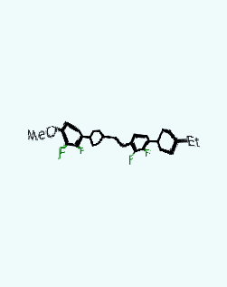 CCC1CCC(c2ccc(CCC3CCC(c4ccc(OC)c(F)c4F)CC3)c(F)c2F)CC1